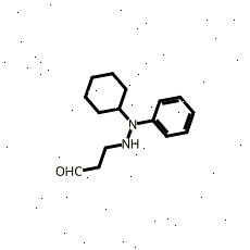 O=CCCNN(c1ccccc1)C1CCCCC1